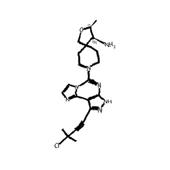 C[C@@H]1OCC2(CCN(c3nc4[nH]nc(C#CC(C)(C)Cl)c4c4nccn34)CC2)[C@@H]1N